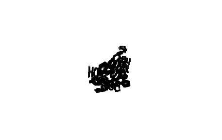 C=CCOCC(COS(=O)(=O)c1ccc(C)cc1)Oc1c(Cl)c(C)c(-c2c(C3=CCCC3)sc3ncnc(OC(Cc4cc(O)ccc4OCOCC[Si](C)(C)C)C(=O)OC(C)(C)C)c23)c(C)c1Cl